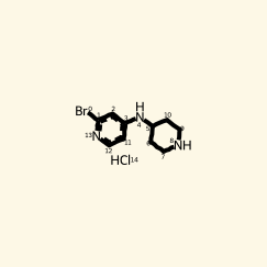 Brc1cc(NC2CCNCC2)ccn1.Cl